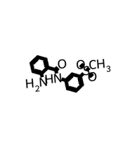 CS(=O)(=O)c1cccc(NC(=O)c2ccccc2N)c1